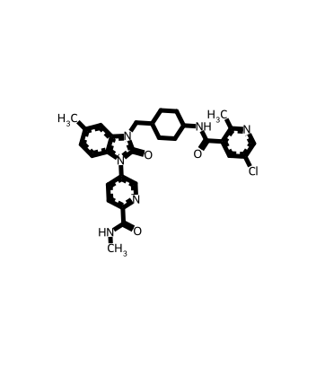 CNC(=O)c1ccc(-n2c(=O)n(CC3CCC(NC(=O)c4cc(Cl)cnc4C)CC3)c3cc(C)ccc32)cn1